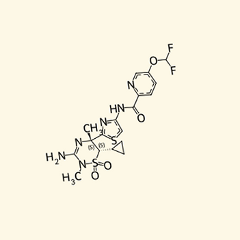 CN1C(N)=N[C@](C)(c2nc(NC(=O)c3ccc(OC(F)F)cn3)cs2)[C@H](C2CC2)S1(=O)=O